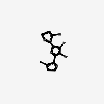 Cc1ccsc1-c1sc(-c2sccc2Br)c(Br)c1Br